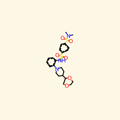 CN(C)S(=O)(=O)c1ccc(S(=O)(=O)Nc2ccccc2N2CCC(C3COCCO3)CC2)cc1